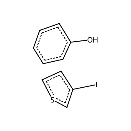 Ic1ccsc1.Oc1ccccc1